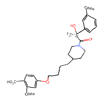 COc1cccc([C@](O)(C(=O)N2CCC(CCCCOc3ccc(C(=O)O)c(OC)c3)CC2)C(F)(F)F)c1